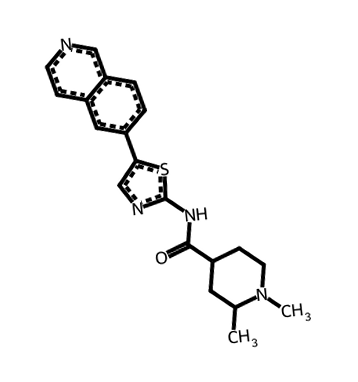 CC1CC(C(=O)Nc2ncc(-c3ccc4cnccc4c3)s2)CCN1C